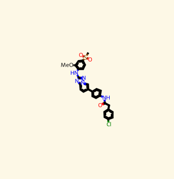 COc1cc(S(C)(=O)=O)ccc1Nc1nc2ccc(-c3ccc(NC(=O)Cc4ccc(Cl)cc4)cc3)cn2n1